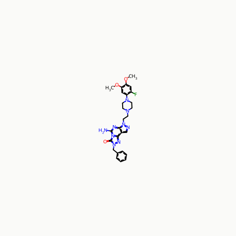 COc1cc(F)c(N2CCN(CCn3ncc4c3nc(N)n3c(=O)n(Cc5ccccc5)nc43)CC2)cc1OC